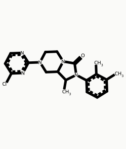 Cc1cccc(N2C(=O)N3CCN(c4nccc(Cl)n4)CC3C2C)c1C